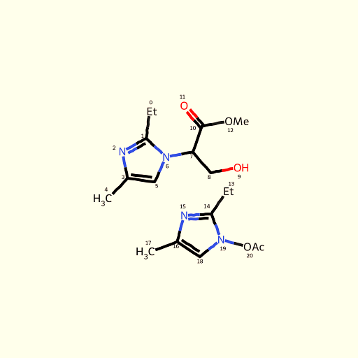 CCc1nc(C)cn1C(CO)C(=O)OC.CCc1nc(C)cn1OC(C)=O